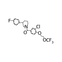 O=C(c1ccc(OCCOC(F)(F)F)c(Cl)c1)N1CCCC(c2ccc(F)cc2)C1